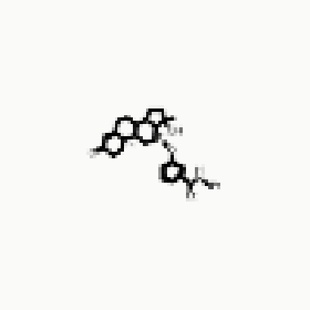 CCC(NC(C)C)c1cccc(OCC[C@]23CCC4C(CCC5=CC(=O)CC[C@@]54C)C2CCC3(C)O)c1